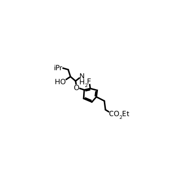 CCOC(=O)CCc1ccc(OC(N)C(O)CC(C)C)c(F)c1